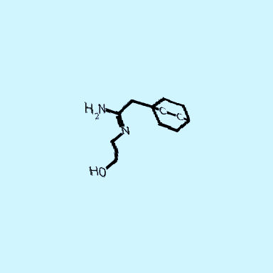 NC(CC12CCC(CC1)CC2)=NCCO